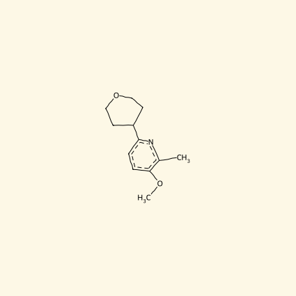 COc1ccc(C2CCOCC2)nc1C